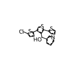 OC(c1cccnc1)c1c(-c2ccc(Cl)s2)csc1-c1cccs1